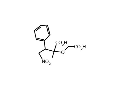 CC(OCC(=O)O)(C(=O)O)C(C[N+](=O)[O-])c1ccccc1